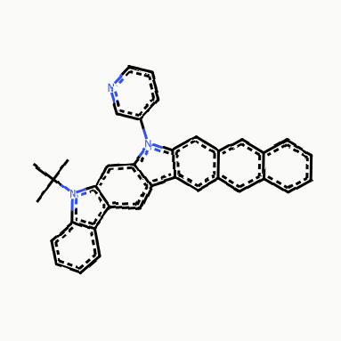 CC(C)(C)n1c2ccccc2c2cc3c4cc5cc6ccccc6cc5cc4n(-c4cccnc4)c3cc21